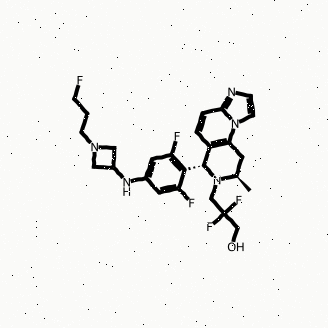 C[C@@H]1Cc2c(ccc3nccn23)[C@@H](c2c(F)cc(NC3CN(CCCF)C3)cc2F)N1CC(F)(F)CO